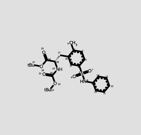 Cc1ccc(S(=O)(=O)Nc2ccccc2)cc1C[C@H](NC(=O)OC(C)(C)C)C(=O)OC(C)(C)C